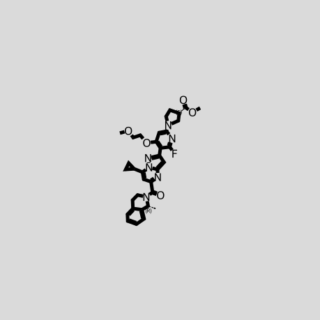 COCCOc1cc(N2CC[C@H](C(=O)OC)C2)nc(F)c1-c1cc2nc(C(=O)N3CCc4ccccc4[C@H]3C)cc(C3CC3)n2n1